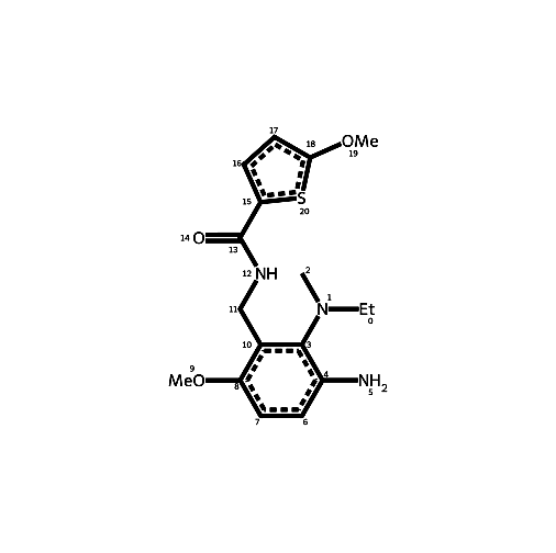 CCN(C)c1c(N)ccc(OC)c1CNC(=O)c1ccc(OC)s1